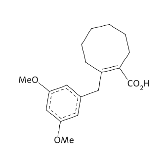 COc1cc(C/C2=C(\C(=O)O)CCCCCC2)cc(OC)c1